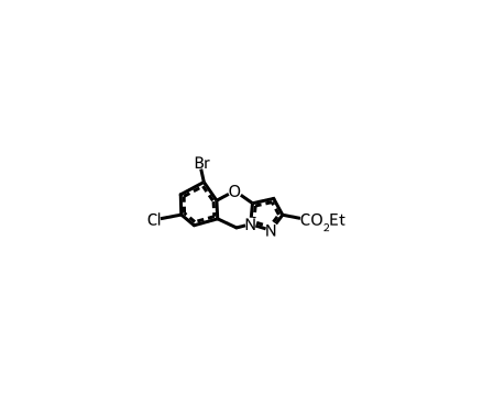 CCOC(=O)c1cc2n(n1)Cc1cc(Cl)cc(Br)c1O2